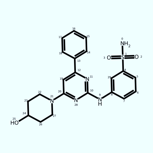 NS(=O)(=O)c1cccc(Nc2nc(-c3ccccc3)cc(N3CCC(O)CC3)n2)c1